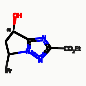 CCOC(=O)c1nc2n(n1)C(C(C)C)C[C@@H]2O